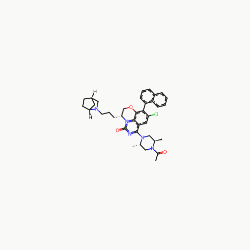 CC(=O)N1C[C@H](C)N(c2nc(=O)n3c4c(c(-c5cccc6ccccc56)c(Cl)cc24)OC[C@H]3CCCN2C[C@H]3CC[C@@H]2C3)C[C@H]1C